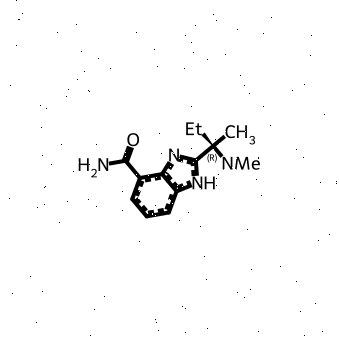 CC[C@@](C)(NC)c1nc2c(C(N)=O)cccc2[nH]1